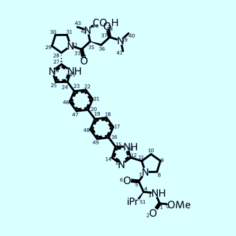 COC(=O)N[C@H](C(=O)N1CCCC1c1ncc(-c2ccc(-c3ccc(-c4cnc([C@@H]5CCCN5C(=O)[C@H](CC(=O)N(C)C)N(C)C(=O)O)[nH]4)cc3)cc2)[nH]1)C(C)C